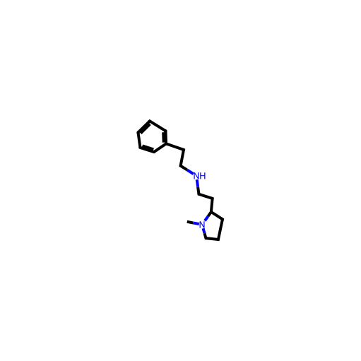 CN1CCCC1CCNCCc1ccccc1